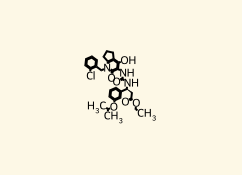 CCOC(=O)C[C@H](NC(=O)Nc1c(O)c2c(n(Cc3ccccc3Cl)c1=O)CCC2)c1cccc(OC(C)C)c1